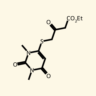 CCOC(=O)CC(=O)CSc1cc(=O)n(C)c(=O)n1C